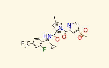 C[C@@H]1C[C@H](C(=O)N[C@@H](c2ccc(C(F)(F)F)cc2F)C2CC2)N(C(=O)c2cc(S(C)(=O)=O)ccn2)C1